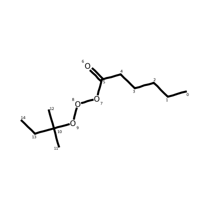 CCCCCC(=O)OOOC(C)(C)CC